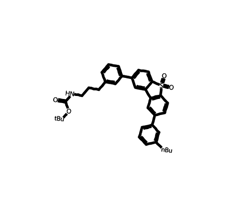 CCCCc1cccc(-c2ccc3c(c2)-c2cc(-c4cccc(CCCNC(=O)OC(C)(C)C)c4)ccc2S3(=O)=O)c1